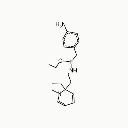 CCOP(Cc1ccc(N)cc1)NCCC1(CC)C=CC=CN1C